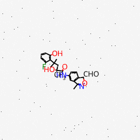 CC1=NOC(C=O)c2ccc(NC(=O)C(O)(CC(C)(C)c3c(O)cccc3F)C(F)(F)F)cc21